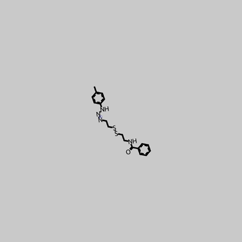 Cc1ccc(N/N=N\CCSSCCNC(=O)c2ccccc2)cc1